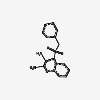 Nc1c([N+](=O)[O-])nc2ccccc2c1S(=O)(=O)Cc1ccccc1